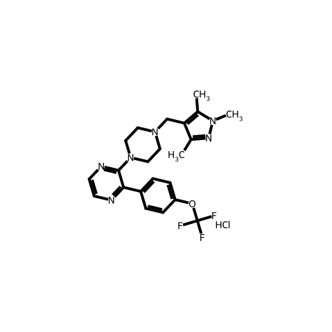 Cc1nn(C)c(C)c1CN1CCN(c2nccnc2-c2ccc(OC(F)(F)F)cc2)CC1.Cl